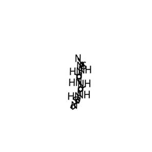 Cc1cc(NNc2ccc(N3CCCC3)s2)ccc1NNc1ccc(NNc2nc(C#N)cs2)c(C)c1